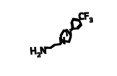 NCCCCN1CCN(c2ccc(C(F)(F)F)cc2)CC1